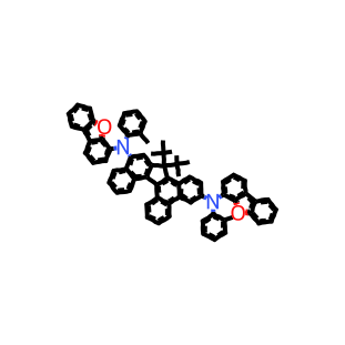 Cc1ccccc1N(c1ccc2c3c(c4ccccc4c2c1)-c1c(cc(N(c2ccccc2C)c2cccc4c2oc2ccccc24)c2ccccc12)C3(C(C)(C)C)C(C)(C)C)c1cccc2c1oc1ccccc12